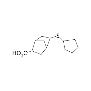 O=C(O)C1CC2CC1CC2SC1CCCC1